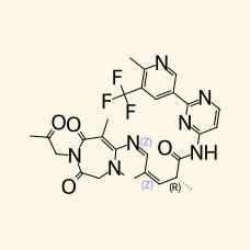 CC(=O)CN1C(=O)CN(C)C(/N=C\C(C)=C/[C@@H](C)C(=O)Nc2ccnc(-c3cnc(C)c(C(F)(F)F)c3)n2)=C(C)C1=O